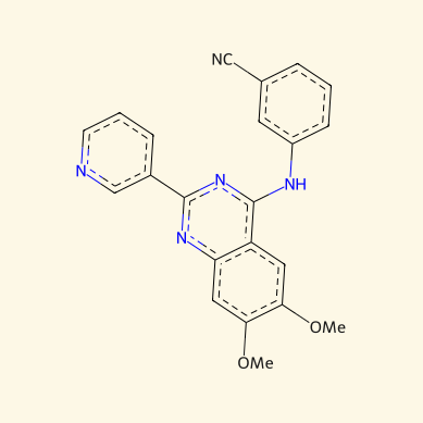 COc1cc2nc(-c3cccnc3)nc(Nc3cccc(C#N)c3)c2cc1OC